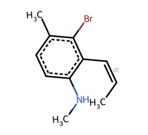 C/C=C\c1c(NC)ccc(C)c1Br